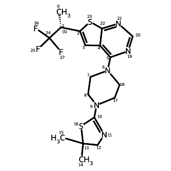 C[C@H](c1cc2c(N3CCN(C4=NCC(C)(C)S4)CC3)ncnc2s1)C(F)(F)F